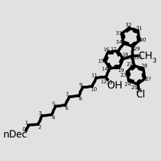 CCCCCCCCCCCCCCCCCCCCCC(O)c1ccc2c(c1)C(C)(c1ccc(Cl)cc1)c1ccccc1-2